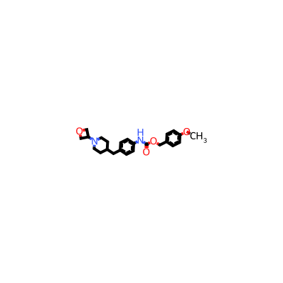 COc1ccc(COC(=O)Nc2ccc(CC3CCN(C4COC4)CC3)cc2)cc1